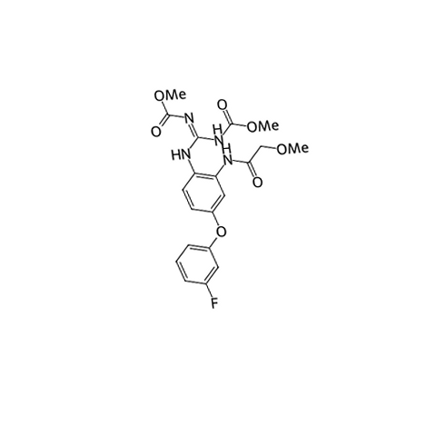 COCC(=O)Nc1cc(Oc2cccc(F)c2)ccc1N/C(=N\C(=O)OC)NC(=O)OC